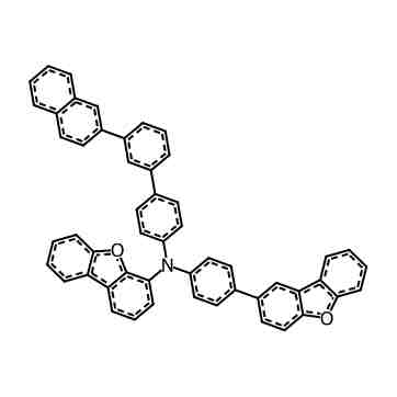 c1cc(-c2ccc(N(c3ccc(-c4ccc5oc6ccccc6c5c4)cc3)c3cccc4c3oc3ccccc34)cc2)cc(-c2ccc3ccccc3c2)c1